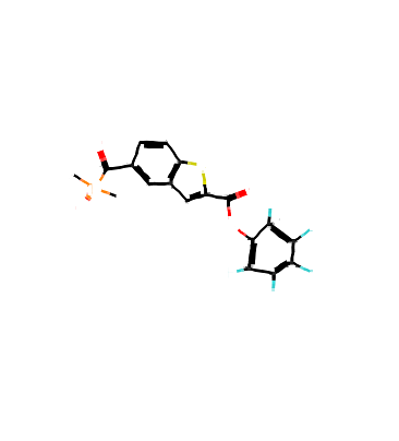 CP(C)(=O)C(=O)c1ccc2sc(C(=O)Oc3c(F)c(F)c(F)c(F)c3F)cc2c1